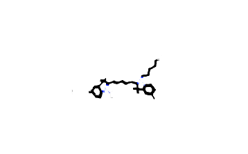 CC[N+]1=C(/C=C/C=C/C=C2/N(CCCCCC(=O)O)c3ccc(C)cc3C2(C)C)C(C)(C)c2cc(S(=O)(=O)O)ccc21